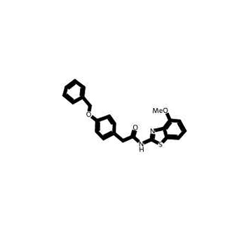 COc1cccc2sc(NC(=O)Cc3ccc(OCc4ccccc4)cc3)nc12